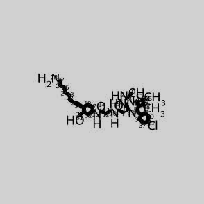 CC(=N)N1C(=N)[C@H](CC(=O)NCCC(=O)Nc2ccc(C#CCCCCCCN)c(CO)c2)N=C(c2ccc(Cl)cc2)c2c1sc(C)c2C